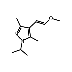 CO/C=C/c1c(C)nn(C(C)C)c1C